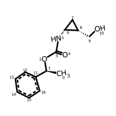 C[C@H](OC(=O)N[C@@H]1C[C@@H]1CO)c1ccccc1